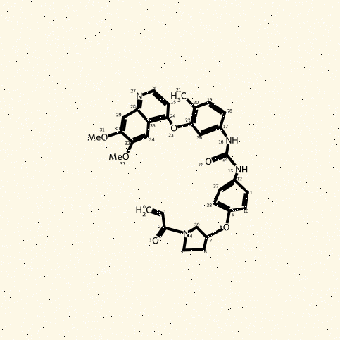 C=CC(=O)N1CCC(Oc2ccc(NC(=O)Nc3ccc(C)c(Oc4ccnc5cc(OC)c(OC)cc45)c3)cc2)C1